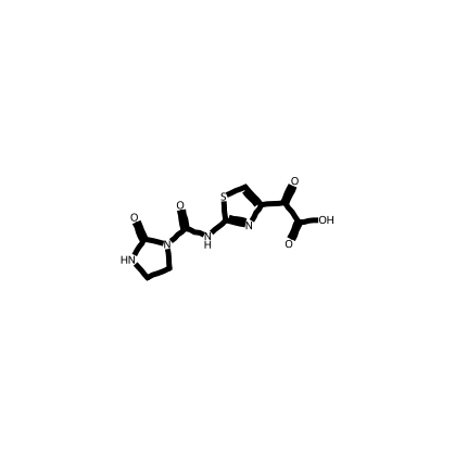 O=C(O)C(=O)c1csc(NC(=O)N2CCNC2=O)n1